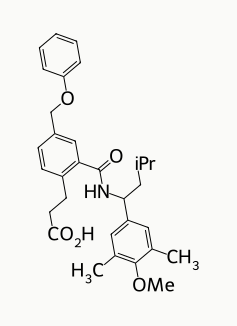 COc1c(C)cc(C(CC(C)C)NC(=O)c2cc(COc3ccccc3)ccc2CCC(=O)O)cc1C